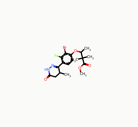 COC(=O)C(C)(C)C(C)Oc1ccc(C2=NNC(=O)CC2C)c(F)c1Br